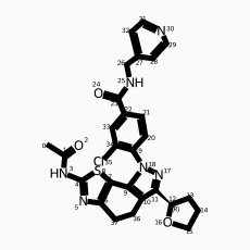 CC(=O)Nc1nc2c(s1)-c1c(c([C@H]3CCCO3)nn1-c1ccc(C(=O)NCc3ccncc3)cc1Cl)CC2